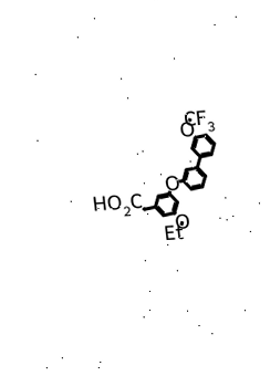 CCOc1cc(CC(=O)O)cc(Oc2cccc(-c3cccc(OC(F)(F)F)c3)c2)c1